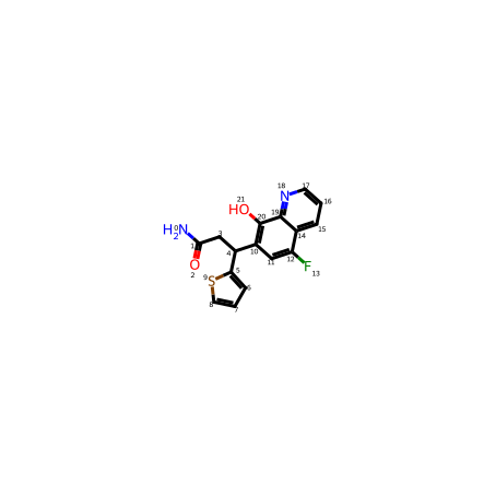 NC(=O)CC(c1cccs1)c1cc(F)c2cccnc2c1O